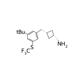 CC(C)(C)c1cc(C[C@H]2C[C@@H](CN)C2)cc(SC(F)(F)F)c1